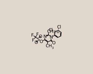 Cc1c(OS(=O)(=O)C(F)(F)F)nc(C)n(C2=CC=C[C@@H](Cl)[C@H]2Cl)c1=O